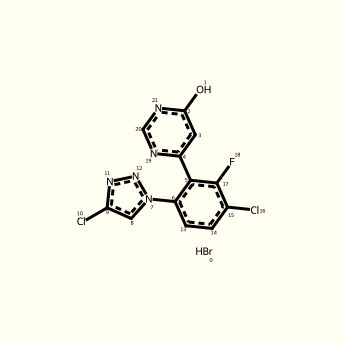 Br.Oc1cc(-c2c(-n3cc(Cl)nn3)ccc(Cl)c2F)ncn1